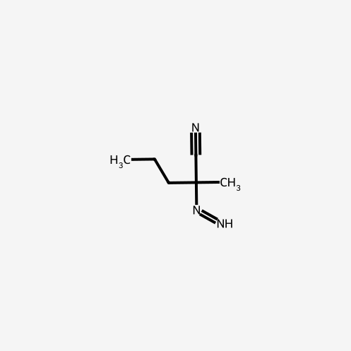 CCCC(C)(C#N)N=N